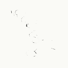 COC(=O)COCC(CO)C1=CC2C[C@@H](OC3CCCCO3)[C@H](COC3CCCCO3)C2C1